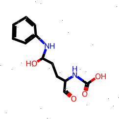 O=CC(CCC(O)Nc1ccccc1)NC(=O)O